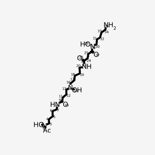 CC(=O)N(O)CCCCCNC(=O)CCCN(O)CCCCCNC(=O)CCC(=O)N(O)CCCCCN